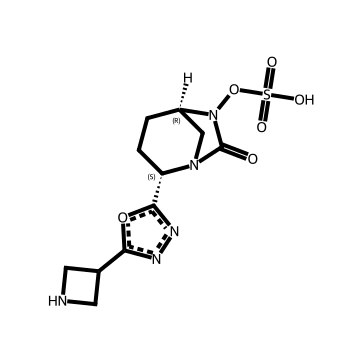 O=C1N2C[C@@H](CC[C@H]2c2nnc(C3CNC3)o2)N1OS(=O)(=O)O